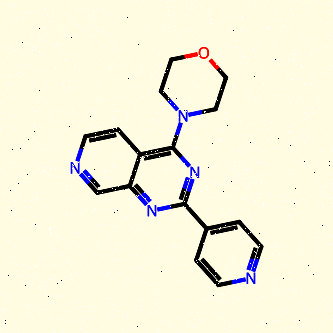 c1cc(-c2nc(N3CCOCC3)c3ccncc3n2)ccn1